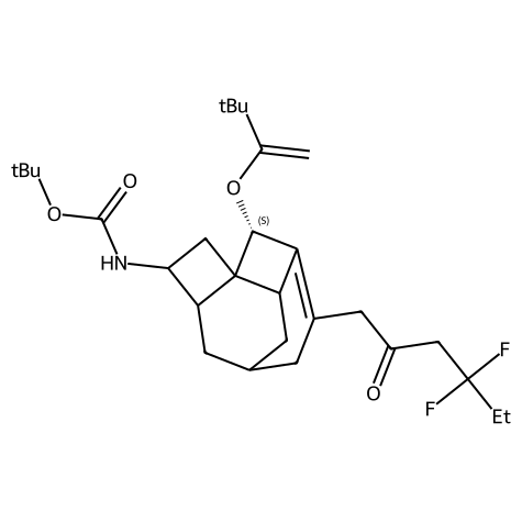 C=C(O[C@@H]1C2=C(CC(=O)CC(F)(F)CC)CC3CC2C12CC(NC(=O)OC(C)(C)C)C2C3)C(C)(C)C